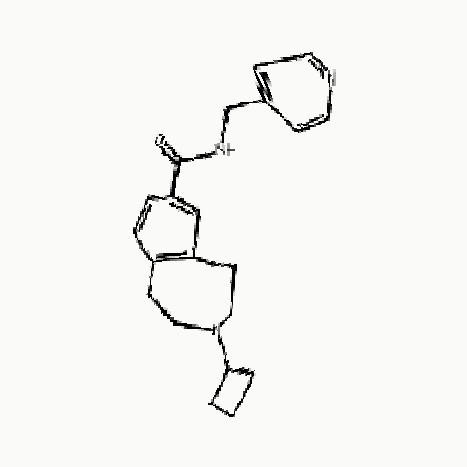 O=C(NCc1ccncc1)c1ccc2c(c1)CCN(C1CCC1)CC2